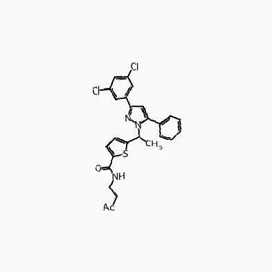 CC(=O)CCNC(=O)c1ccc(C(C)n2nc(-c3cc(Cl)cc(Cl)c3)cc2-c2ccccc2)s1